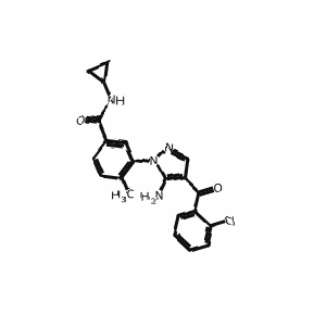 Cc1ccc(C(=O)NC2CC2)cc1-n1ncc(C(=O)c2ccccc2Cl)c1N